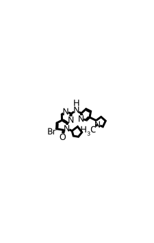 CN1CCCC1c1ccc(Nc2ncc3cc(Br)c(=O)n(C4CCCC4)c3n2)nc1